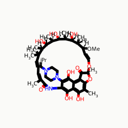 CO[C@H]1/C=C/O[C@@]2(C)Oc3c(C)c(O)c4c(O)c(c(N5CCN(CC(C)C)CC5)c(O)c4c3C2=O)NC(=O)/C(C)=C\C=C\C(C)(C)[C@H](C)[C@H](O)[C@@H](C)[C@@H](O)[C@@H](C)[C@H](O)[C@@H]1C